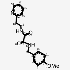 COc1ccc(CNC(=O)C(=O)NCCc2ccccn2)cc1